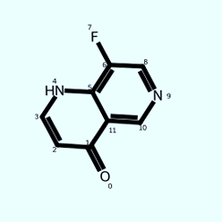 O=c1cc[nH]c2c(F)cncc12